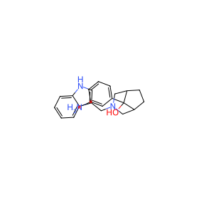 Nc1cccc(C2(O)C3CCC2CN(Cc2c[nH]c4ccccc24)C3)c1